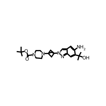 CC(C)(C)OC(=O)N1CCN(C23CC(n4cc5cc(N)c(C(C)(C)O)cc5n4)(C2)C3)CC1